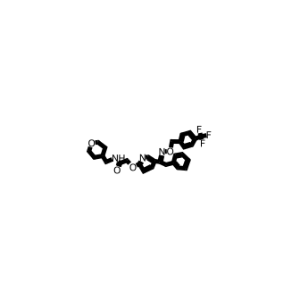 O=C(COc1ccc(C(Cc2ccccc2)=NOCc2ccc(C(F)(F)F)cc2)cn1)NCC1CCOCC1